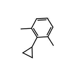 Cc1c[c]cc(C)c1C1CC1